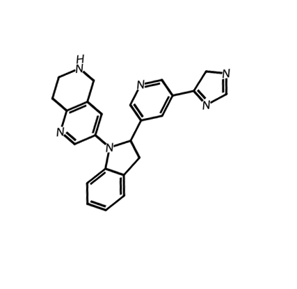 C1=NCC(c2cncc(C3Cc4ccccc4N3c3cnc4c(c3)CNCC4)c2)=N1